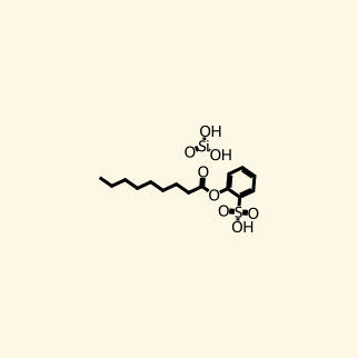 CCCCCCCCC(=O)Oc1ccccc1S(=O)(=O)O.O=[Si](O)O